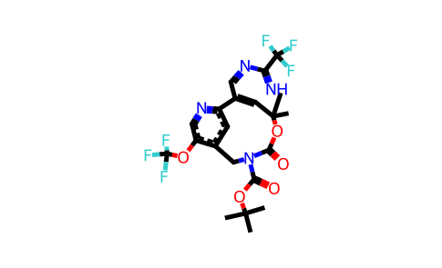 CC(C)(C)OC(=O)N1Cc2cc(ncc2OC(F)(F)F)C(/C=N\C(=N)C(F)(F)F)=C\C(C)(C)OC1=O